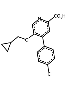 O=C(O)c1cc(-c2ccc(Cl)cc2)c(OCC2CC2)cn1